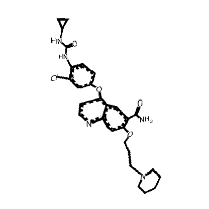 NC(=O)c1cc2c(Oc3ccc(NC(=O)NC4CC4)c(Cl)c3)ccnc2cc1OCCCN1CCCCC1